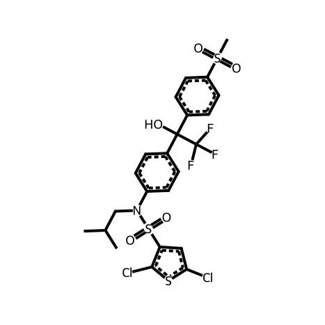 CC(C)CN(c1ccc(C(O)(c2ccc(S(C)(=O)=O)cc2)C(F)(F)F)cc1)S(=O)(=O)c1cc(Cl)sc1Cl